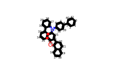 c1ccc(-c2ccc(N(c3ccc4oc5c6ccccc6ccc5c4c3)c3ccccc3-c3ccccc3)cc2)cc1